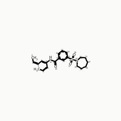 C\C=C/C=C(\C=C/C)NC(=O)c1cccc(S(=O)(=O)N2CCCCCC2)c1